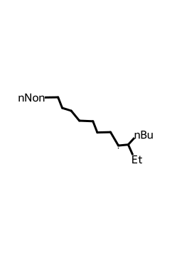 CCCCCCCCCCCCCCCC[CH]C(CC)CCCC